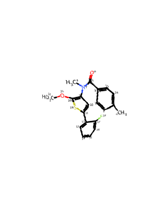 Cc1ccc(C(=O)N(C)c2cc(-c3ccccc3F)sc2OC(=O)O)cc1